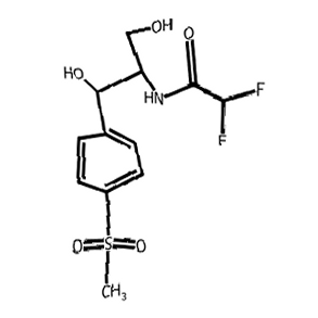 CS(=O)(=O)c1ccc(C(O)C(CO)NC(=O)C(F)F)cc1